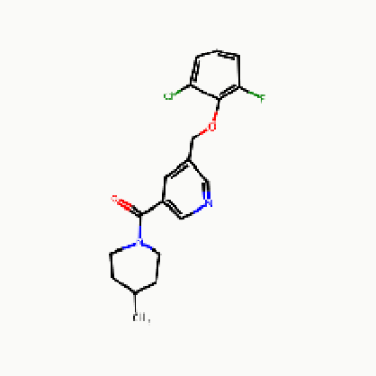 CC1CCN(C(=O)c2cncc(COc3c(F)cccc3Cl)c2)CC1